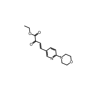 CCOC(=O)C(=O)C=Cc1ccc(N2CCOCC2)nc1